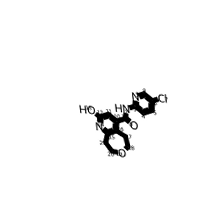 O=C(Nc1ccc(Cl)cn1)c1cc(O)nc2c1CCOCC2